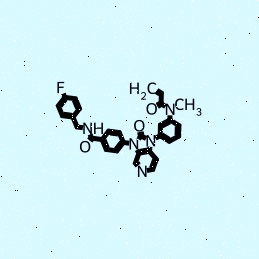 C=CC(=O)N(C)c1cccc(-n2c(=O)n(-c3ccc(C(=O)NCc4ccc(F)cc4)cc3)c3cnccc32)c1